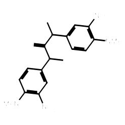 CNc1ccc(C(C)C(=O)C(C)c2ccc(NC)c([N+](=O)[O-])c2)cc1[N+](=O)[O-]